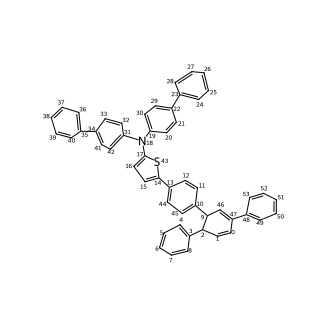 C1=CC(c2ccccc2)C(c2ccc(-c3ccc(N(c4ccc(-c5ccccc5)cc4)c4ccc(-c5ccccc5)cc4)s3)cc2)C=C1c1ccccc1